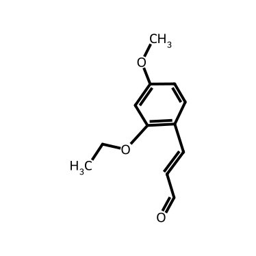 CCOc1cc(OC)ccc1C=CC=O